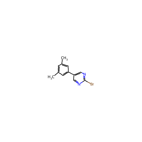 Cc1cc(C)cc(-c2cnc(Br)nc2)c1